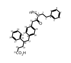 CCCN(CCc1ccccc1)C(=O)Cc1ccc(CC(CCC(=O)O)c2ccccc2)cc1